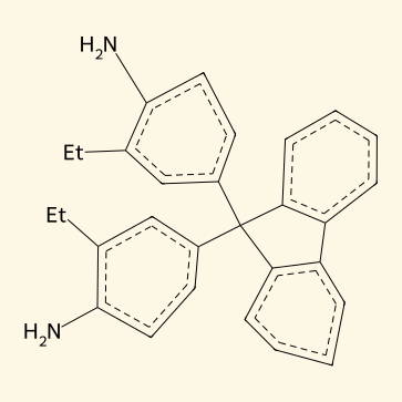 CCc1cc(C2(c3ccc(N)c(CC)c3)c3ccccc3-c3ccccc32)ccc1N